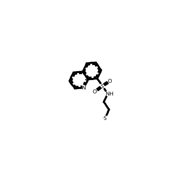 O=S(=O)(NCC[S])c1cccc2cccnc12